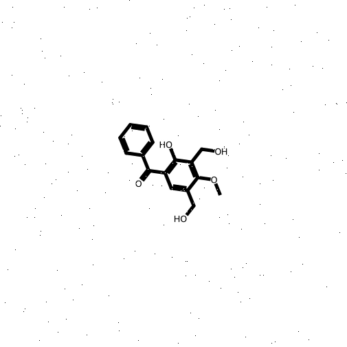 COc1c(CO)cc(C(=O)c2ccccc2)c(O)c1CO